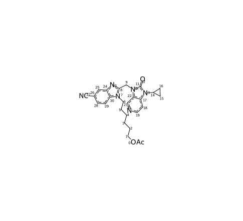 CC(=O)OCCCCCCn1c(Cn2c(=O)n(C3CC3)c3ccncc32)nc2cc(C#N)ccc21